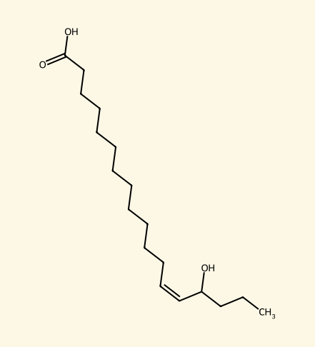 CCCC(O)/C=C\CCCCCCCCCCCC(=O)O